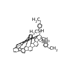 C=Cc1ccc([SiH](C)CC23C=CC4(C[SiH](C)c5ccc(C=C)cc5)c5c2c2c6c7c8c9c%10c(ccc%11c%12c%13c(c5c6c8c%13c%11%10)C4C=C%12)C4C=CC5C6C=CC3C=2C6C=7C5C94)cc1